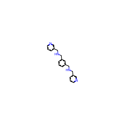 c1cncc(CNCc2cccc(CNCc3cccnc3)c2)c1